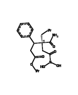 CC(C)C[C@@](CC(=O)N(O)O)(C(N)=O)C(CC(=O)OC(C)C)c1ccccc1